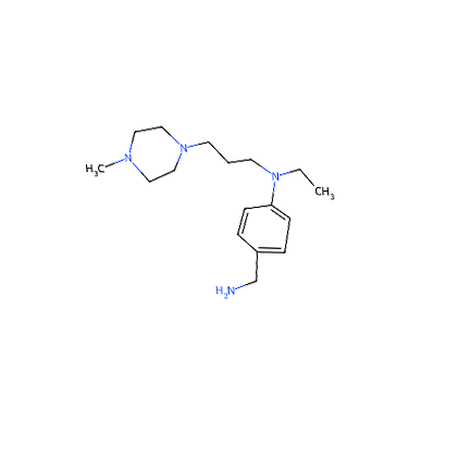 CCN(CCCN1CCN(C)CC1)c1ccc(CN)cc1